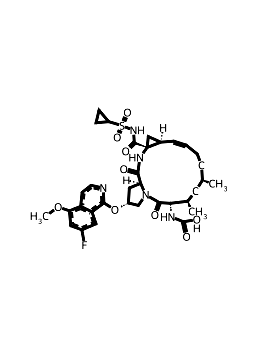 COc1cc(F)cc2c(O[C@@H]3C[C@H]4C(=O)N[C@]5(C(=O)NS(=O)(=O)C6CC6)C[C@H]5/C=C\CC[C@@H](C)C[C@@H](C)[C@H](NC(=O)O)C(=O)N4C3)nccc12